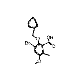 COc1cc(Br)c(OCc2ccccc2)c(C(=O)O)c1C